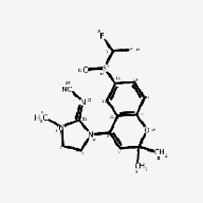 CN1CCN(C2=CC(C)(C)Oc3ccc([S+]([O-])C(F)F)cc32)C1=NC#N